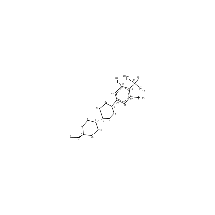 CC[C@H]1CC[C@H](C2CCC(c3cc(F)c(C(C)(F)F)c(F)c3)CC2)CC1